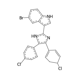 Clc1ccc(-c2[nH]c(-c3c[nH]c4ccc(Br)cc34)nc2C2=CCC(Cl)C=C2)cc1